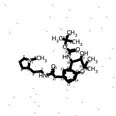 CN1CCCC1CCNC(=O)Cc1ccc2c(c1)C(NC(=O)OC(C)(C)C)C(O)C(C)(C)O2